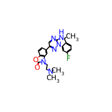 CC(Nc1ncc(-c2ccc3oc(=O)n(CCN(C)C)c3c2)nn1)c1ccc(F)cc1